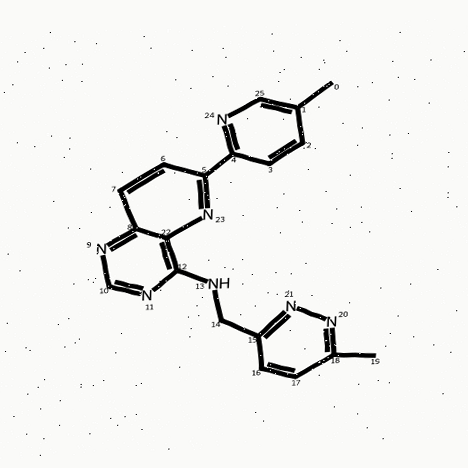 Cc1ccc(-c2ccc3ncnc(NCc4ccc(C)nn4)c3n2)nc1